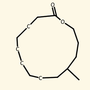 CC1CCCCCCCCC(=O)OCCC1